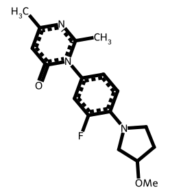 COC1CCN(c2ccc(-n3c(C)nc(C)cc3=O)cc2F)C1